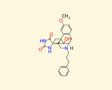 COc1ccc2c(c1)[C@]13CCN(CCCc4ccccc4)[C@H](C2)[C@]1(O)CC[C@@]1(C3)NC(=O)NC1=O